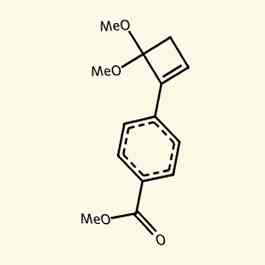 COC(=O)c1ccc(C2=CCC2(OC)OC)cc1